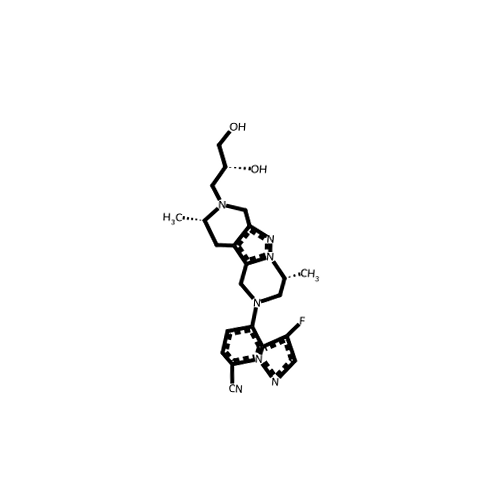 C[C@@H]1CN(c2ccc(C#N)n3ncc(F)c23)Cc2c3c(nn21)CN(C[C@@H](O)CO)[C@@H](C)C3